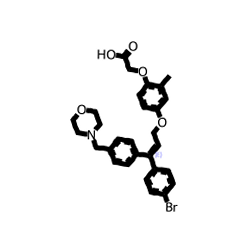 Cc1cc(OC/C=C(/c2ccc(Br)cc2)c2ccc(CN3CCOCC3)cc2)ccc1OCC(=O)O